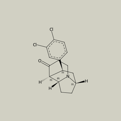 O=C1CCN2[C@H]3CC[C@@H]2[C@@H]1[C@@H](c1ccc(Cl)c(Cl)c1)C3